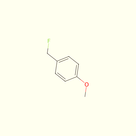 COc1ccc(CF)cc1